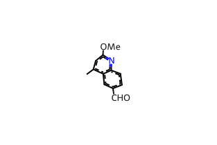 COc1cc(C)c2cc(C=O)ccc2n1